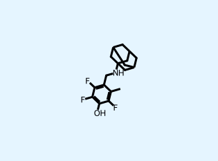 Cc1c(F)c(O)c(F)c(F)c1CNC12CC3CC(CC(C3)C1)C2